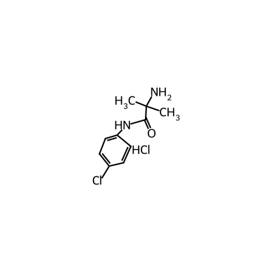 CC(C)(N)C(=O)Nc1ccc(Cl)cc1.Cl